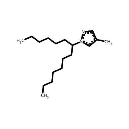 CCCCCCCC(CCCCCC)n1cc(C)cn1